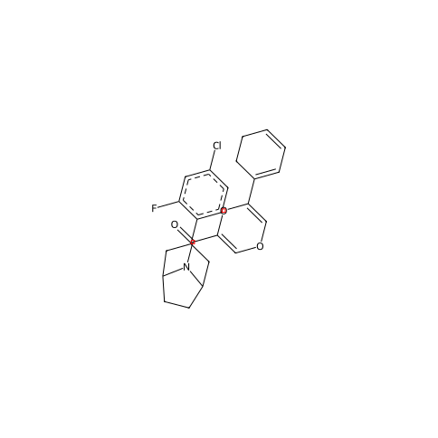 O=C(C1=COC=C(C2=CC=CCC2)O1)N1C2CCC1CC(c1ccc(Cl)cc1F)C2